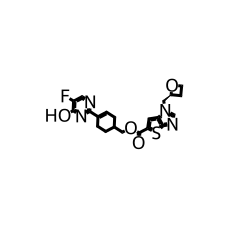 O=C(OCC1CC=C(c2ncc(F)c(O)n2)CC1)c1cc2c(ncn2C[C@@H]2CCO2)s1